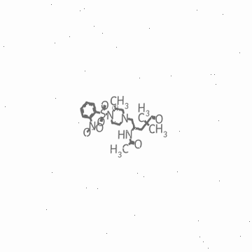 CC(=O)NC(CN1CCN(S(=O)(=O)c2ccccc2[N+](=O)[O-])[C@@H](C)C1)CC(C)(C)C=O